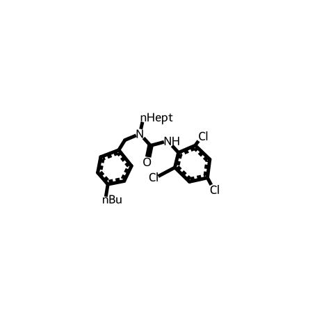 CCCCCCCN(Cc1ccc(CCCC)cc1)C(=O)Nc1c(Cl)cc(Cl)cc1Cl